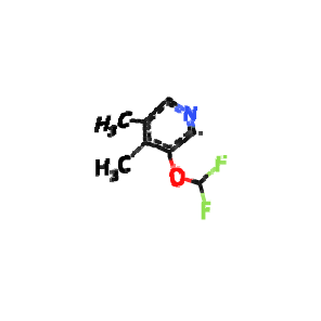 Cc1cn[c]c(OC(F)F)c1C